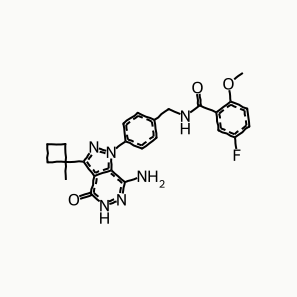 COc1ccc(F)cc1C(=O)NCc1ccc(-n2nc(C3(C)CCC3)c3c(=O)[nH]nc(N)c32)cc1